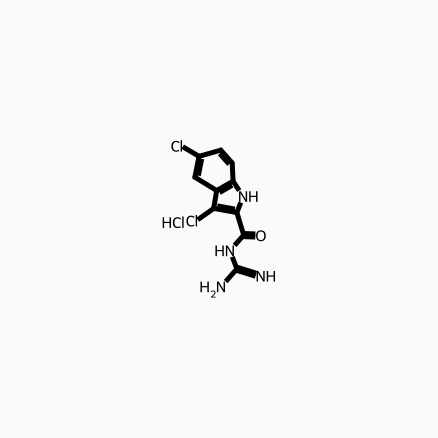 Cl.N=C(N)NC(=O)c1[nH]c2ccc(Cl)cc2c1Cl